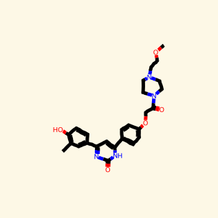 COCCN1CCN(C(=O)COc2ccc(-c3cc(-c4ccc(O)c(C)c4)nc(=O)[nH]3)cc2)CC1